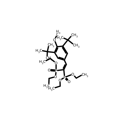 CCOP(=O)(OCC)C(=Cc1cc(C(C)(C)C)c(OC)c(C(C)(C)C)c1)P(=O)(OCC)OCC